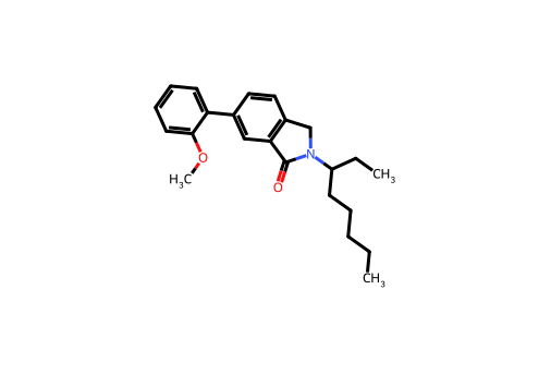 CCCCCC(CC)N1Cc2ccc(-c3ccccc3OC)cc2C1=O